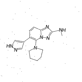 CNc1nc2ccc(-c3cn[nH]c3)c(N3CCCCC3)n2n1